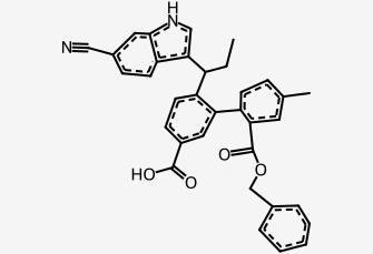 CCC(c1ccc(C(=O)O)cc1-c1ccc(C)cc1C(=O)OCc1ccccc1)c1c[nH]c2cc(C#N)ccc12